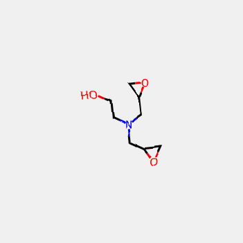 OCCN(CC1CO1)CC1CO1